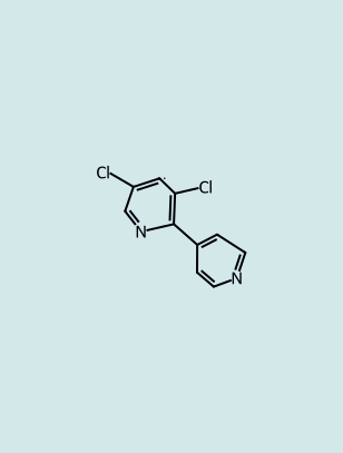 Clc1[c]c(Cl)c(-c2ccncc2)nc1